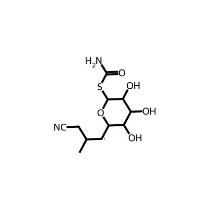 CC([CH]C1OC(SC(N)=O)C(O)C(O)C1O)CC#N